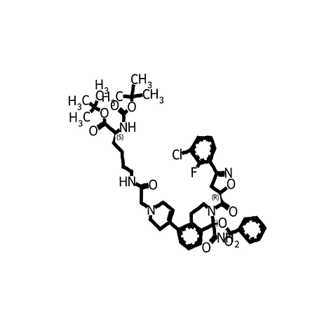 CC(C)(C)OC(=O)N[C@@H](CCCCNC(=O)CN1CC=C(c2cccc3c2CCN(C(=O)[C@H]2CC(c4cccc(Cl)c4F)=NO2)[C@@]3(OC(=O)c2ccccc2)C(N)=O)CC1)C(=O)OC(C)(C)C